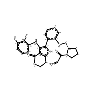 C=CC(=O)N1CCC[C@H]1COc1cnccc1-c1[nH]c2c(c1Nc1cccc(F)c1Cl)C(=O)NCC2